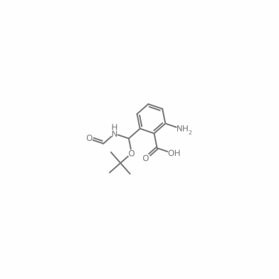 CC(C)(C)OC(NC=O)c1cccc(N)c1C(=O)O